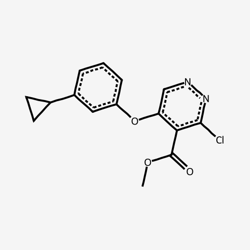 COC(=O)c1c(Oc2cccc(C3CC3)c2)cnnc1Cl